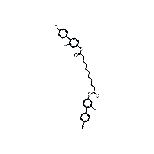 O=C(CCCCCCCCCC(=O)Sc1ccc(-c2ccc(F)cc2)c(F)c1)Sc1ccc(-c2ccc(F)cc2)c(F)c1